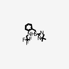 CC1(C)C=NC(SCc2ccccc2NCC(F)(F)F)=N1